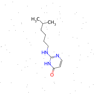 CC(C)CCCCNc1nccc(=O)[nH]1